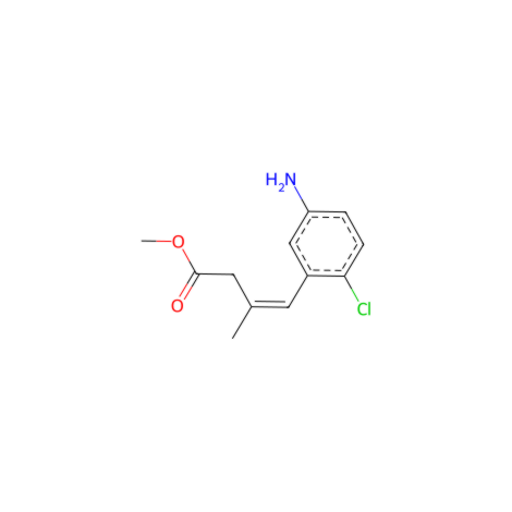 COC(=O)CC(C)=Cc1cc(N)ccc1Cl